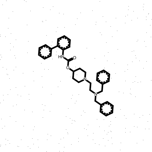 O=C(Nc1ccccc1-c1ccccc1)OC1CCN(CCN(Cc2ccccc2)Cc2ccccc2)CC1